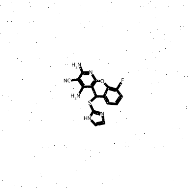 N#Cc1c(N)nc2c(c1N)C(Sc1ncc[nH]1)c1cccc(F)c1O2